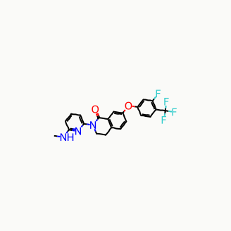 CNc1cccc(N2CCc3ccc(Oc4ccc(C(F)(F)F)c(F)c4)cc3C2=O)n1